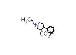 C=CCN1CCC(c2ccccc2)C(C(=O)O)C1